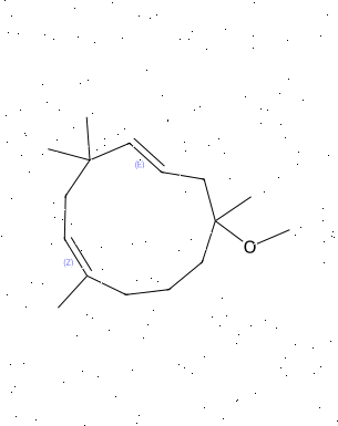 COC1(C)C/C=C/C(C)(C)C/C=C(/C)CCC1